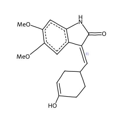 COc1cc2c(cc1OC)/C(=C\C1CC=C(O)CC1)C(=O)N2